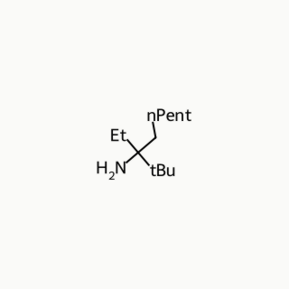 CCCCCCC(N)(CC)C(C)(C)C